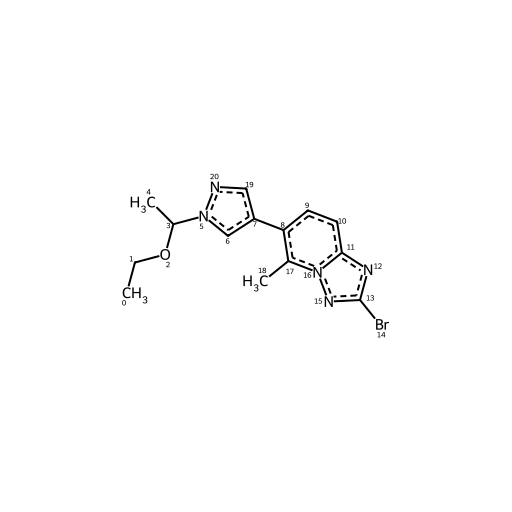 CCOC(C)n1cc(-c2ccc3nc(Br)nn3c2C)cn1